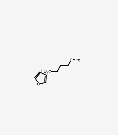 CCCCCCCCCC(=O)O.c1ccoc1